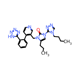 CCCCn1cnnc1-n1cc(CCC)n(Cc2cnccc2-c2ccccc2-c2nnn[nH]2)c1=O